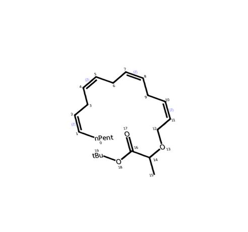 CCCCC/C=C\C/C=C\C/C=C\C/C=C\COC(C)C(=O)OC(C)(C)C